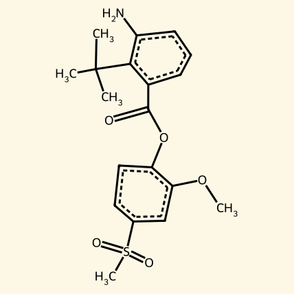 COc1cc(S(C)(=O)=O)ccc1OC(=O)c1cccc(N)c1C(C)(C)C